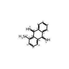 N=C1c2ccccc2C(=N)c2c([SiH3])cccc21